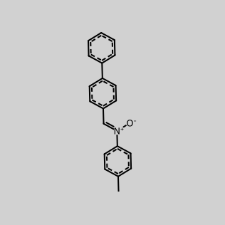 Cc1ccc(/[N+]([O-])=C/c2ccc(-c3ccccc3)cc2)cc1